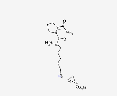 CCOC(=O)[C@H]1C[C@H]1/C=C\CCCCC[C@H](N)C(=O)N1CCC[C@H]1C(N)=O